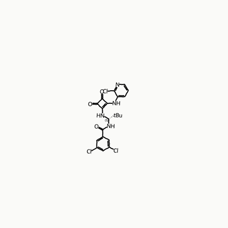 CC(C)(C)[C@H](NC(=O)c1cc(Cl)cc(Cl)c1)Nc1c(Nc2cccnc2Cl)c(=O)c1=O